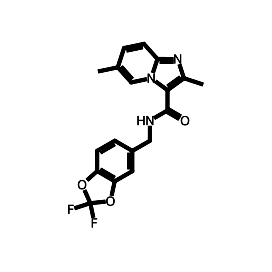 Cc1ccc2nc(C)c(C(=O)NCc3ccc4c(c3)OC(F)(F)O4)n2c1